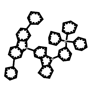 c1ccc(-c2ccc3c4ccc(-c5ccccc5)cc4n(-c4ccc5c(c4)c4ccccc4n5-c4cccc([Si](c5ccccc5)(c5ccccc5)c5ccccc5)c4)c3c2)cc1